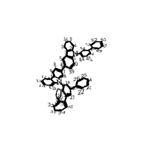 C1=Cc2c(c3cc(-c4ccc5c6ccccc6n(-c6cc(-c7ccccc7)cc7c6oc6ccccc67)c5c4)ccc3n2-c2cccc(-c3ccccc3)c2)CC1